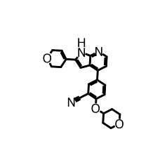 N#Cc1cc(-c2ccnc3[nH]c(C4=CCOCC4)cc23)ccc1OC1CCOCC1